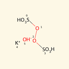 O=S(=O)(O)OOS(=O)(=O)O.[K+].[OH-]